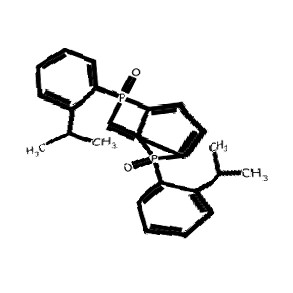 CC(C)c1ccccc1P1(=O)C2=CC=C3C1=C2P3(=O)c1ccccc1C(C)C